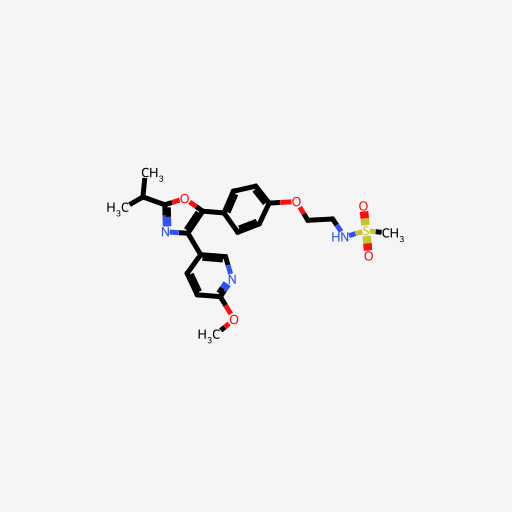 COc1ccc(-c2nc(C(C)C)oc2-c2ccc(OCCNS(C)(=O)=O)cc2)cn1